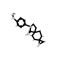 CC(C)Oc1ccc(N2CCC3(CCC4(CC3)CO4)C2=O)cc1